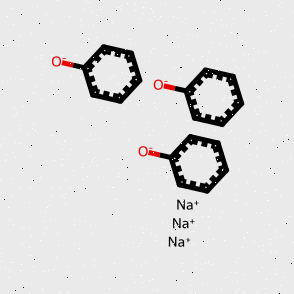 [Na+].[Na+].[Na+].[O-]c1ccccc1.[O-]c1ccccc1.[O-]c1ccccc1